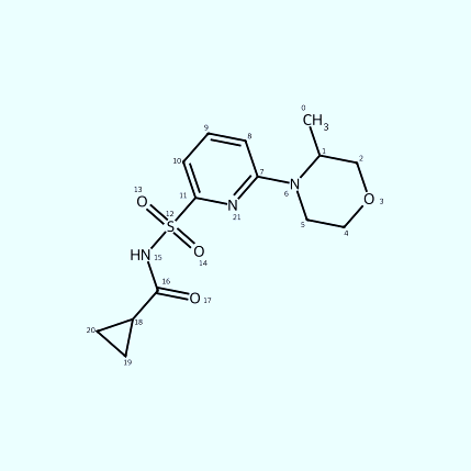 CC1COCCN1c1cccc(S(=O)(=O)NC(=O)C2CC2)n1